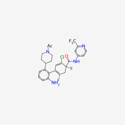 CC(=O)N1CCC(c2cccc(N)c2C2=C(F)CC(F)(C(=O)Nc3ccnc(C(F)(F)F)c3)C(Cl)=C2)CC1